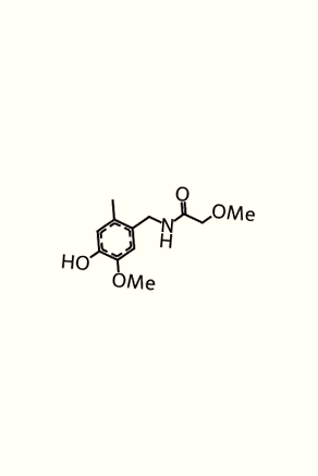 COCC(=O)NCc1cc(OC)c(O)cc1C